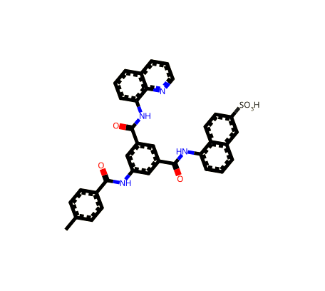 Cc1ccc(C(=O)Nc2cc(C(=O)Nc3cccc4cc(S(=O)(=O)O)ccc34)cc(C(=O)Nc3cccc4cccnc34)c2)cc1